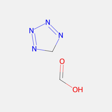 C1N=NN=N1.O=CO